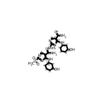 CS(=O)(=O)c1ncc(C(N)=O)c(N[C@@H]2CCC[C@H](O)C2)n1.CSc1ncc(C(N)=O)c(N[C@@H]2CCC[C@H](O)C2)n1